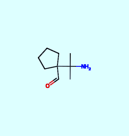 CC(C)(N)C1(C=O)CCCC1